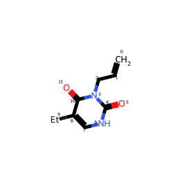 C=CCn1c(=O)[nH]cc(CC)c1=O